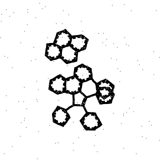 c1cc2ccc3cccc4ccc(c1)c2c34.c1ccc(C2=C(c3ccccc3)C(c3ccccc3)c3c2c2c(-c4ccccc4)cccc2c2ccccc32)cc1